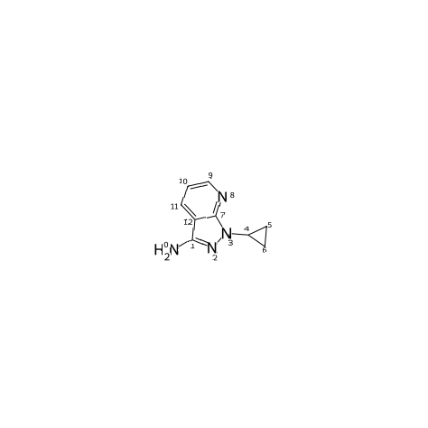 Nc1nn(C2CC2)c2ncccc12